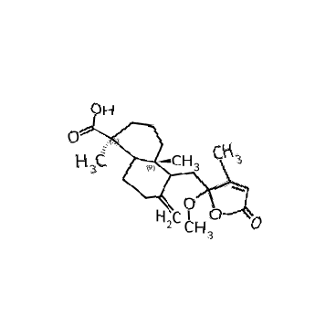 C=C1CCC2[C@](C)(CCC[C@]2(C)C(=O)O)C1CC1(OC)OC(=O)C=C1C